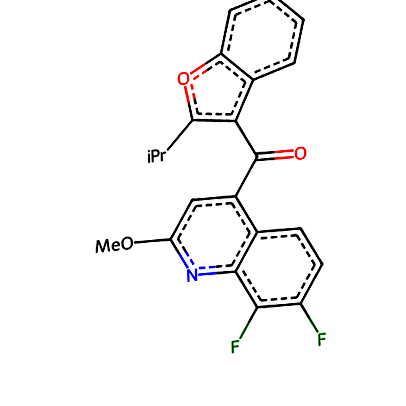 COc1cc(C(=O)c2c(C(C)C)oc3ccccc23)c2ccc(F)c(F)c2n1